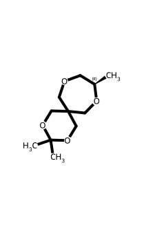 C[C@@H]1COCC2(CO1)COC(C)(C)OC2